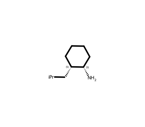 CC(C)C[C@@H]1CCCC[C@@H]1N